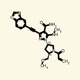 C=CC(=O)N1C[C@@H](n2nc(C#Cc3ccc4ocnc4c3)c(C(N)=O)c2NC)C[C@@H]1COC